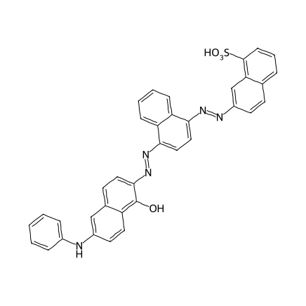 O=S(=O)(O)c1cccc2ccc(N=Nc3ccc(N=Nc4ccc5cc(Nc6ccccc6)ccc5c4O)c4ccccc34)cc12